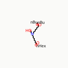 CCCCCCOC(=O)CCCCCCCN(CCO)CCCCCCCC(=O)OC(CCCC)CCCC